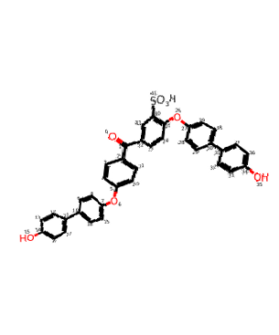 O=C(c1ccc(Oc2ccc(-c3ccc(O)cc3)cc2)cc1)c1ccc(Oc2ccc(-c3ccc(O)cc3)cc2)c(S(=O)(=O)O)c1